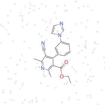 CCOC(=O)c1c(C)nc(C)c(C#N)c1-c1cccc(-n2ccnc2)c1